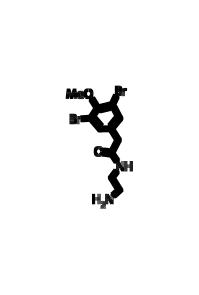 COc1c(Br)cc(CC(=O)NCCN)cc1Br